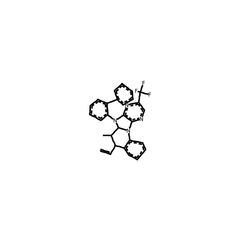 C=CC1c2ccccc2N2c3ncc(C(F)(F)F)nc3N(c3ccccc3-c3ccccc3)C2C1C